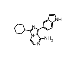 Nc1nccn2c(C3CCCCC3)nc(-c3ccc4[nH]ccc4c3)c12